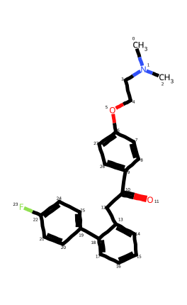 CN(C)CCOc1ccc(C(=O)Cc2ccccc2-c2ccc(F)cc2)cc1